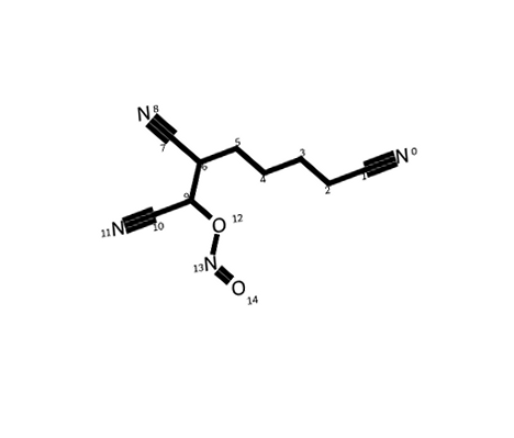 N#CCCCCC(C#N)C(C#N)ON=O